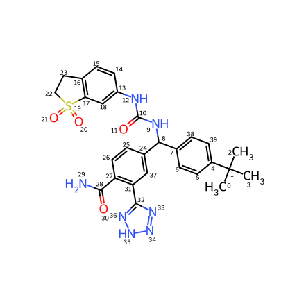 CC(C)(C)c1ccc(C(NC(=O)Nc2ccc3c(c2)S(=O)(=O)CC3)c2ccc(C(N)=O)c(-c3nn[nH]n3)c2)cc1